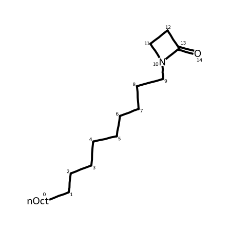 CCCCCCCCCCCCCCCCCN1CCC1=O